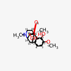 COc1ccc2c(c1O)[C@]13CCN(C)C(C2)[C@]1(O)CCC(=O)[C@H]3C